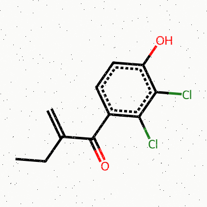 C=C(CC)C(=O)c1ccc(O)c(Cl)c1Cl